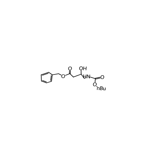 CCCCOC(=O)NCC(O)CC(=O)OCc1ccccc1